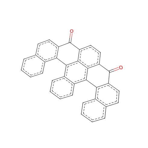 O=C1c2ccc3ccccc3c2-c2c3ccccc3c3c4c(ccc1c24)C(=O)c1ccc2ccccc2c1-3